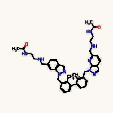 CC(=O)NCCNCc1ccc2cnn(Cc3cccc(-c4cccc(Cn5ncc6ccc(CNCCNC(C)=O)nc65)c4C)c3C)c2c1